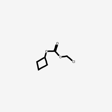 O=C(OCCl)OC1CCC1